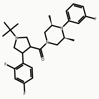 C[C@@H]1CN(C(=O)C2CN(C(C)(C)C)CC2c2ccc(F)cc2F)C[C@H](C)N1c1cccc(F)c1